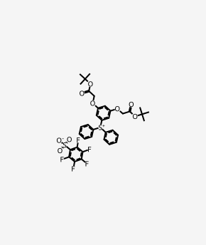 CC(C)(C)OC(=O)COc1cc(OCC(=O)OC(C)(C)C)cc([S+](c2ccccc2)c2ccccc2)c1.O=S(=O)([O-])c1c(F)c(F)c(F)c(F)c1F